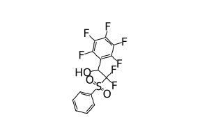 O=S(=O)(c1ccccc1)C(F)(F)C(O)c1c(F)c(F)c(F)c(F)c1F